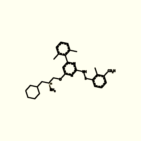 Cc1cccc(C)c1-c1cc(OC[C@H](N)CC2CCCCC2)nc(NSc2cccc(C(=O)O)c2C)n1